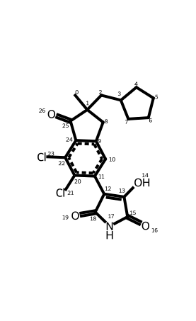 CC1(CC2CCCC2)Cc2cc(C3=C(O)C(=O)NC3=O)c(Cl)c(Cl)c2C1=O